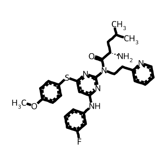 COc1ccc(Sc2cc(Nc3cccc(F)c3)nc(N(CCc3ccccn3)C(=O)[C@@H](N)CC(C)C)n2)cc1